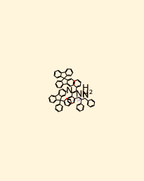 NC(/C(=C1\NC(c2ccccc2)=C(N(c2ccc3c(c2)C(c2ccccc2)(c2ccccc2)c2ccccc2-3)c2cccc3c2-c2ccccc2C32c3ccccc3-c3ccccc32)c2ccccc21)c1ccccc1)c1ccccc1